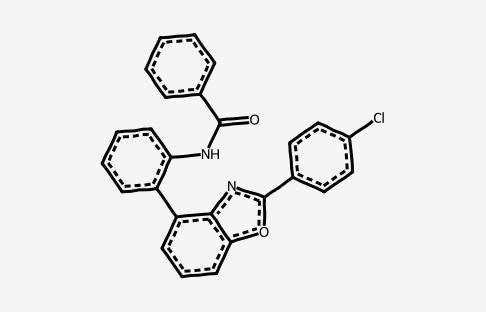 O=C(Nc1ccccc1-c1cccc2oc(-c3ccc(Cl)cc3)nc12)c1ccccc1